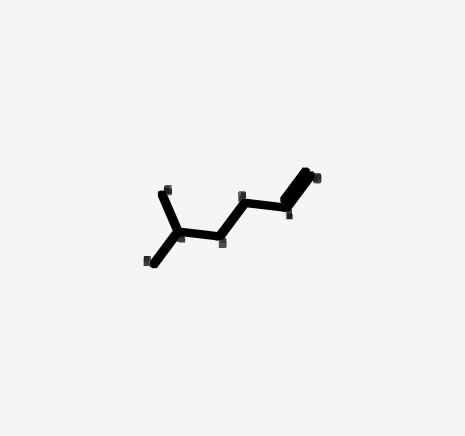 C=CCCC(C)C